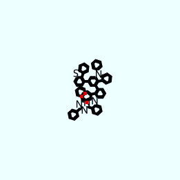 C1=c2c(n(-c3ccccc3-c3nc(-c4ccccc4)nc(-c4ccccc4)n3)c3cccc(-c4cc(-c5cccc6sc7ccccc7c56)cc5c4c4ccccc4n5-c4ccccc4)c23)=CCC1